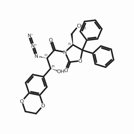 CC[C@@H]1N(C(=O)[C@@H](N=[N+]=[N-])[C@H](O)c2ccc3c(c2)OCCO3)C(=O)OC1(c1ccccc1)c1ccccc1